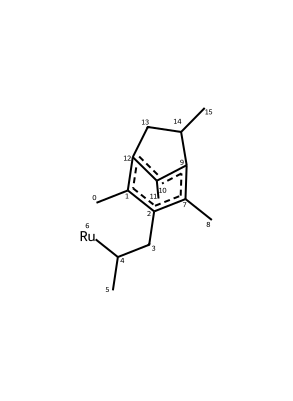 Cc1c(C[CH](C)[Ru])c(C)c2c(C)c1CC2C